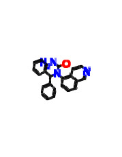 NC(=O)N(c1cccc2cnccc12)C(c1ccccc1)c1ccccc1